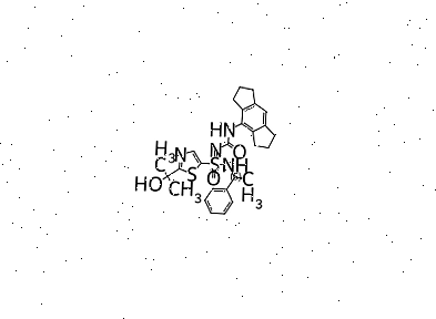 C[C@H](NS(=O)(=NC(=O)Nc1c2c(cc3c1CCC3)CCC2)c1cnc(C(C)(C)O)s1)c1ccccc1